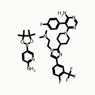 CC1(C)OB(c2ccc(N)nc2)OC1(C)C.CN(C)CCn1cc(-c2ccc(F)c(C(F)(F)F)c2)nc1C1CCN(c2ncnc(N)c2-c2ccc(F)cc2)CC1